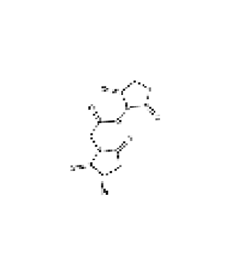 CC(C)C1CC(=O)N(CC(=O)ON2C(=O)CCC2=O)C1=O